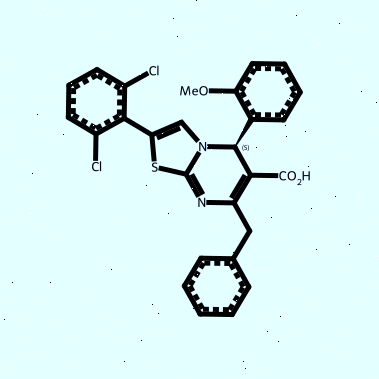 COc1ccccc1[C@H]1C(C(=O)O)=C(Cc2ccccc2)N=C2SC(c3c(Cl)cccc3Cl)=CN21